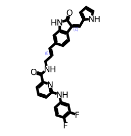 O=C1Nc2cc(/C=C/CNC(=O)c3cccc(Nc4ccc(F)c(F)c4)n3)ccc2/C1=C/c1ccc[nH]1